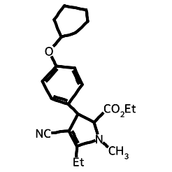 CCOC(=O)C1C(c2ccc(OC3CCCCC3)cc2)C(C#N)=C(CC)N1C